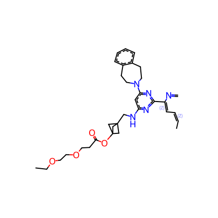 C=N/C(=C\C=C/C)c1nc(NCC23CC(OC(=O)CCOCCOCC)(C2)C3)cc(N2CCc3ccccc3CC2)n1